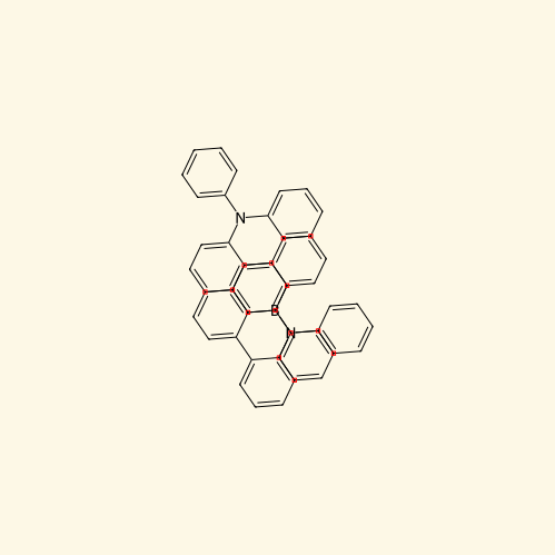 c1ccc(B(c2ccccc2-c2ccccc2N(c2ccccc2)c2ccccc2)c2ccccc2-c2ccccc2N(c2ccccc2)c2ccccc2)cc1